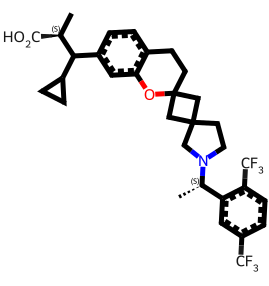 C[C@H](C(=O)O)C(c1ccc2c(c1)OC1(CC2)CC2(CCN([C@@H](C)c3cc(C(F)(F)F)ccc3C(F)(F)F)C2)C1)C1CC1